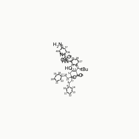 CC(C)(C)C(C1=C(O)CC(CCc2ccccc2)(CCc2ccccc2)OC1=O)c1cccc(NS(=O)(=O)c2ccc(N)cn2)c1